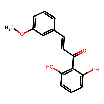 COc1cccc(/C=C/C(=O)c2c(O)cccc2O)c1